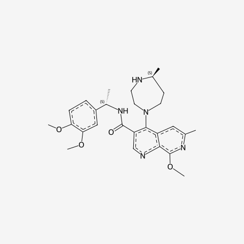 COc1ccc([C@H](C)NC(=O)c2cnc3c(OC)nc(C)cc3c2N2CCN[C@@H](C)CC2)cc1OC